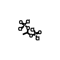 CC(OP(=O)(Cl)Cl)OP(=O)(Cl)Cl